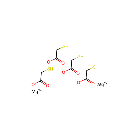 O=C([O-])CS.O=C([O-])CS.O=C([O-])CS.O=C([O-])CS.[Mg+2].[Mg+2]